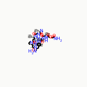 CC[C@H](C)[C@@H]([C@@H](CC(=O)N1CCC[C@H]1[C@H](OC)[C@@H](C)C(=O)N[C@H](CN)Cc1ccc(NC(=O)CNC(=O)[C@@H](NC(=O)COCC(N)=O)C(C)C)cc1)OC)N(C)C(=O)[C@H](C)NC(=O)[C@H](C(C)C)N(C)C